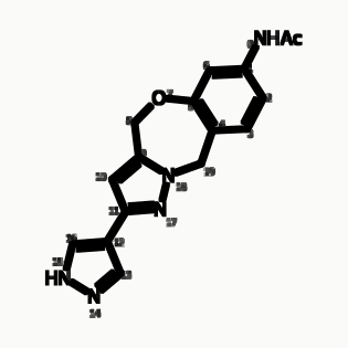 CC(=O)Nc1ccc2c(c1)OCc1cc(-c3cn[nH]c3)nn1C2